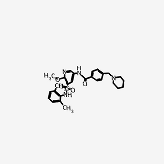 COc1ncc(NC(=O)c2ccc(CN3CCCCC3)cc2)cc1S(=O)(=O)Nc1c(C)cccc1C